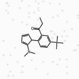 CCC(=O)c1cc(C(C)(C)C)ccc1C1C=CC=C1N(C)C